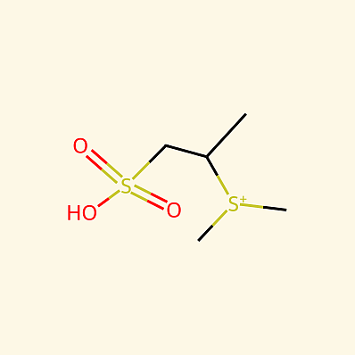 CC(CS(=O)(=O)O)[S+](C)C